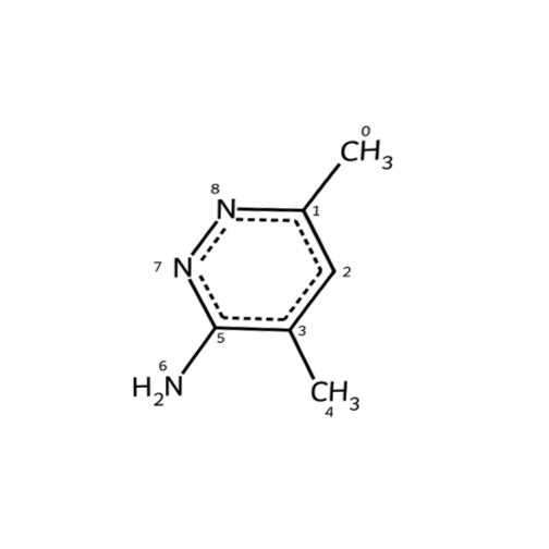 Cc1cc(C)c(N)nn1